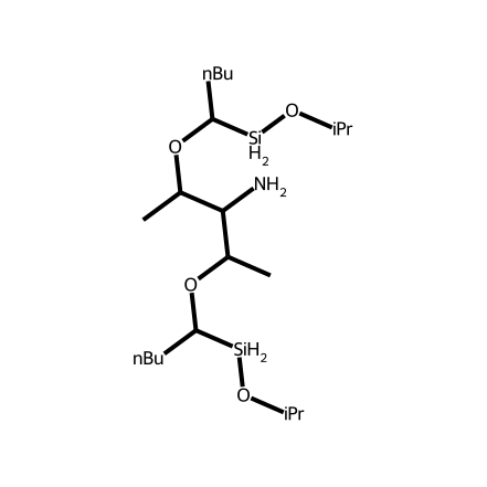 CCCCC(OC(C)C(N)C(C)OC(CCCC)[SiH2]OC(C)C)[SiH2]OC(C)C